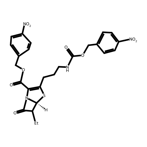 CCC1C(=O)N2C(C(=O)OCc3ccc([N+](=O)[O-])cc3)=C(CCCNC(=O)OCc3ccc([N+](=O)[O-])cc3)S[C@@H]12